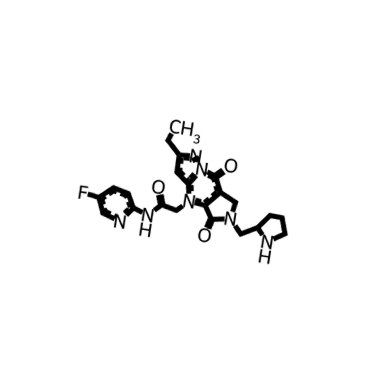 CCc1cc2n(CC(=O)Nc3ccc(F)cn3)c3c(c(=O)n2n1)CN(CC1CCCN1)C3=O